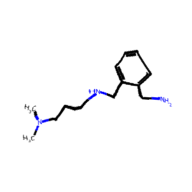 CN(C)CCCNCc1ccccc1CN